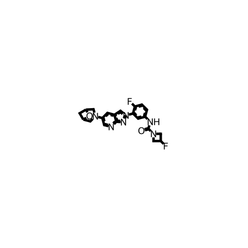 O=C(Nc1ccc(F)c(-n2cc3cc(N4CC5CC(C4)O5)cnc3n2)c1)N1CC(F)C1